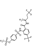 C=C(CCC(F)(F)F)NC(=O)c1ccc(C(F)(F)F)cc1NS(=O)(=O)c1ccc(OS(C)(=O)=O)cc1